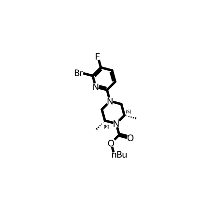 CCCCOC(=O)N1[C@H](C)CN(c2ccc(F)c(Br)n2)C[C@@H]1C